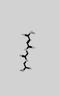 CCCCC(CC)COC(=O)COC(=O)/C=C/C(=O)OC